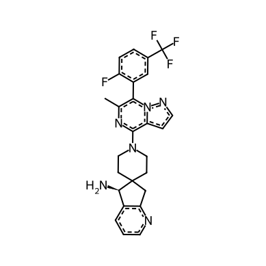 Cc1nc(N2CCC3(CC2)Cc2ncccc2[C@H]3N)c2ccnn2c1-c1cc(C(F)(F)F)ccc1F